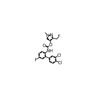 Cn1cc(OC(=O)Nc2ccc(F)cc2-c2ccc(Cl)c(Cl)c2)c(CF)n1